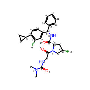 CN(C)C(=O)NCC(=O)N1C[C@H](F)C[C@H]1C(=O)N[C@@H](c1ccccc1)c1ccc(C2CC2)c(F)c1